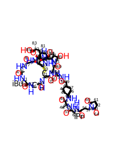 CC[C@H](C)[C@@H]1NC(=O)CNC(=O)C2Cc3c([nH]c4ccccc34)SCC(NC(=O)CNC1=O)C(=O)N[C@@H](CC(=O)NOCc1ccc(NC(=O)[C@H](C)NC(=O)C(NC(=O)CCN3C(=O)C=CC3=O)C(C)C)cc1)C(=O)N1C[C@H](O)C[C@H]1C(=O)N[C@@H]([C@@H](C)[C@@H](C)CO)C(=O)N2